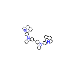 c1cc(-c2cccc3ccc4cccnc4c23)cc(-n2c3ccccc3c3cc(-c4ccc5c(c4)c4ccccc4n5-c4cccc(-c5cccc6ccc7cccnc7c56)c4)ccc32)c1